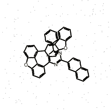 C1=c2oc3ccccc3c2=CC(c2cccc3oc4cccc(-c5nc(-c6ccccc6)nc(-c6ccc7ccccc7c6)n5)c4c23)C1